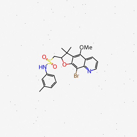 COc1c2c(c(Br)c3ncccc13)OC(CS(=O)(=O)Nc1cccc(C)c1)C2(C)C